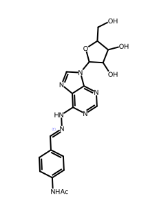 CC(=O)Nc1ccc(/C=N/Nc2ncnc3c2ncn3C2OC(CO)C(O)C2O)cc1